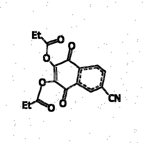 CCC(=O)OC1=C(OC(=O)CC)C(=O)c2cc(C#N)ccc2C1=O